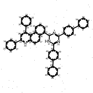 c1ccc(-c2ccc(C3=NC(c4cccc5c4ccc4nc(-c6ccccc6)cc(-c6ccccc6)c45)NC(c4ccc(-c5ccccc5)cc4)=N3)cc2)cc1